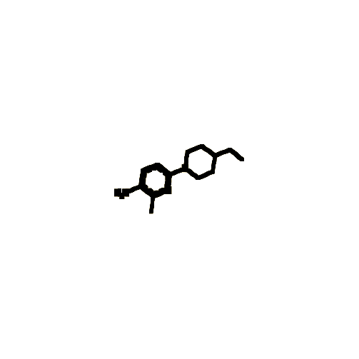 CCC1CCN(c2ccc(N)c(C)n2)CC1